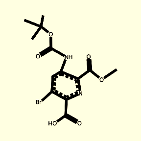 COC(=O)c1nc(C(=O)O)c(Br)cc1NC(=O)OC(C)(C)C